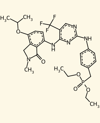 CCOP(=O)(Cc1ccc(Nc2ncc(C(F)(F)F)c(Nc3ccc(OC(C)C)c4c3C(=O)N(C)C4)n2)cc1)OCC